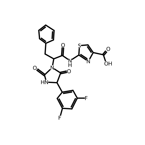 O=C(O)c1csc(NC(=O)C(Cc2ccccc2)N2C(=O)NC(c3cc(F)cc(F)c3)C2=O)n1